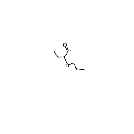 CCCOC([C]=O)CC